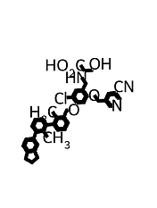 Cc1c(COc2cc(OCc3cncc(C#N)c3)c(CNC(CO)C(=O)O)cc2Cl)cccc1-c1cccc(-c2ccc3c(c2)CCC3)c1C